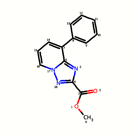 COC(=O)c1nc2c(-c3ccccc3)cccn2n1